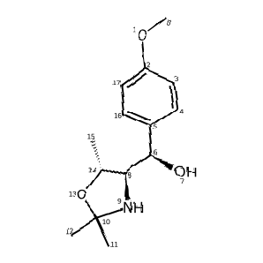 COc1ccc([C@@H](O)[C@H]2NC(C)(C)O[C@@H]2C)cc1